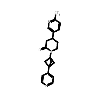 O=C1CC(c2ccc(C(F)(F)F)nc2)CCN1C12CC(c3ccncc3)(C1)C2